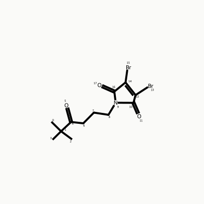 CC(C)(C)C(=O)CCCN1C(=O)C(Br)=C(Br)C1=O